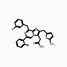 Cc1ccc(Cc2nc3c(Cc4cccc(F)c4)nc(-c4ccccc4F)cn3c2CC(=O)O)o1